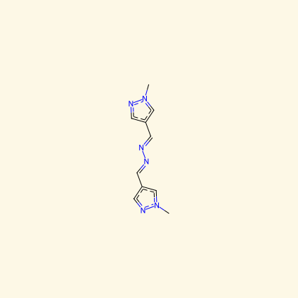 Cn1cc(C=NN=Cc2cnn(C)c2)cn1